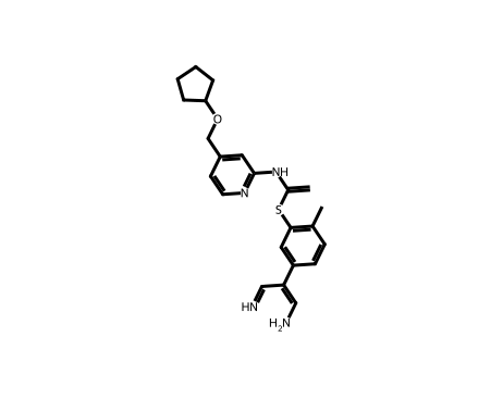 C=C(Nc1cc(COC2CCCC2)ccn1)Sc1cc(/C(C=N)=C/N)ccc1C